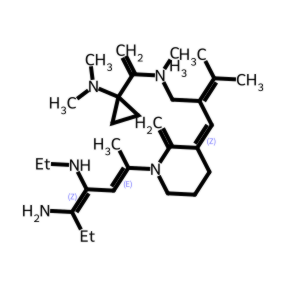 C=C1/C(=C\C(CN(C)C(=C)C2(N(C)C)CC2)=C(C)C)CCCN1/C(C)=C/C(NCC)=C(/N)CC